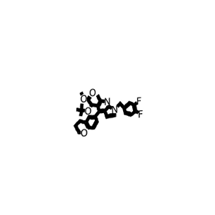 COC(=O)C(OC(C)(C)C)c1c(C)nc2c(ccn2Cc2ccc(F)c(F)c2)c1-c1ccc2c(c1)CCCO2